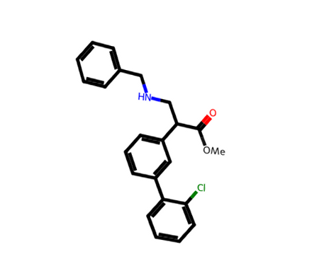 COC(=O)C(CNCc1ccccc1)c1cccc(-c2ccccc2Cl)c1